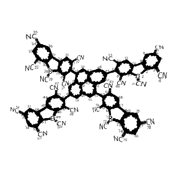 N#CB1c2c(C#N)cc(C#N)cc2-c2cc(C#N)c(-c3cc4cc(-c5c(C#N)cc6c(c5C#N)B(C#N)c5c(C#N)cc(C#N)cc5-6)c5cc(-c6c(C#N)cc7c(c6C#N)B(C#N)c6c(C#N)cc(C#N)cc6-7)cc6cc(-c7c(C#N)cc8c(c7C#N)B(C#N)c7c(C#N)cc(C#N)cc7-8)c(c3)c4c65)c(C#N)c21